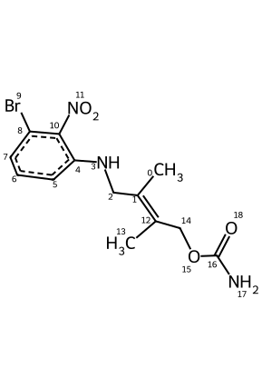 C/C(CNc1cccc(Br)c1[N+](=O)[O-])=C(/C)COC(N)=O